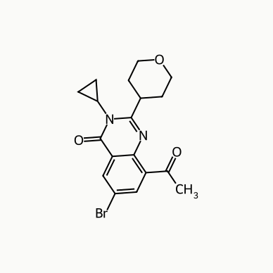 CC(=O)c1cc(Br)cc2c(=O)n(C3CC3)c(C3CCOCC3)nc12